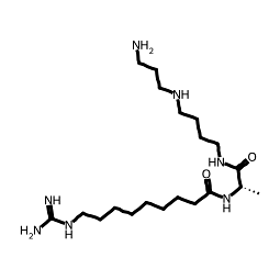 C[C@H](NC(=O)CCCCCCCCNC(=N)N)C(=O)NCCCCNCCCN